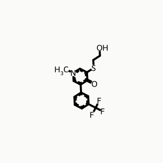 Cn1cc(SCCO)c(=O)c(-c2cccc(C(F)(F)F)c2)c1